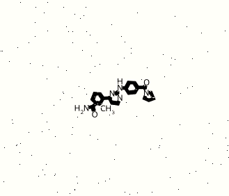 Cc1c(C(N)=O)cccc1-c1ccnc(Nc2ccc(C(=O)N3CCCC3)cc2)n1